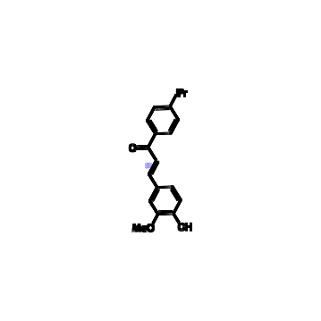 COc1cc(/C=C/C(=O)c2ccc(C(C)C)cc2)ccc1O